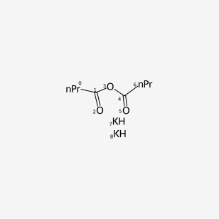 CCCC(=O)OC(=O)CCC.[KH].[KH]